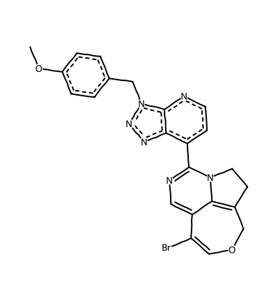 COc1ccc(Cn2nnc3c(C4=NC=C5C(Br)=COCC6=C5N4CC6)ccnc32)cc1